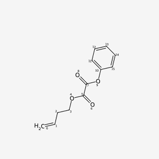 C=CCCOC(=O)C(=O)Oc1ccccc1